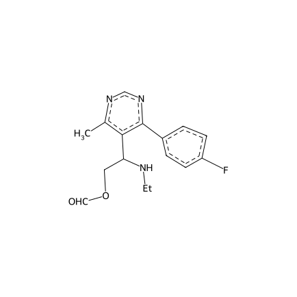 CCNC(COC=O)c1c(C)ncnc1-c1ccc(F)cc1